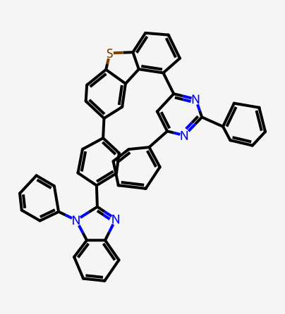 c1ccc(-c2cc(-c3cccc4sc5ccc(-c6ccc(-c7nc8ccccc8n7-c7ccccc7)cc6)cc5c34)nc(-c3ccccc3)n2)cc1